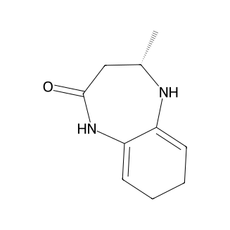 C[C@H]1CC(=O)NC2=CCCC=C2N1